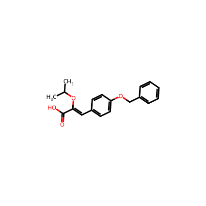 CC(C)OC(=Cc1ccc(OCc2ccccc2)cc1)C(=O)O